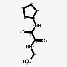 CCNC(=O)C(=O)NC1CCCC1